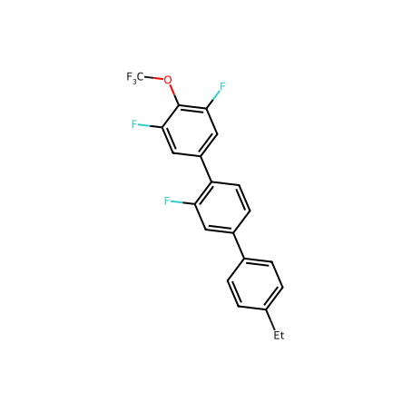 CCc1ccc(-c2ccc(-c3cc(F)c(OC(F)(F)F)c(F)c3)c(F)c2)cc1